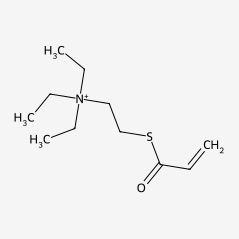 C=CC(=O)SCC[N+](CC)(CC)CC